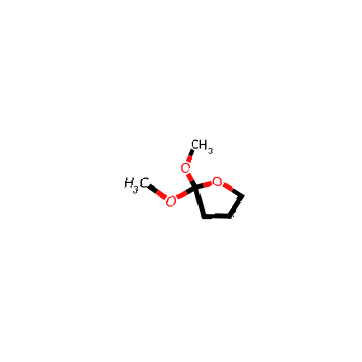 COC1(OC)C[CH]CO1